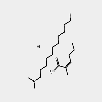 CCCC=C(C)C(N)=O.CCCCCCCCCCCCN(C)C.I